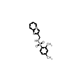 Cc1ccc(S(=O)(=O)NCc2cn3ccccc3n2)c(C)c1